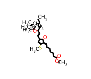 CCCCCC(C=CC1C=C(SC)C(=CCCCCCC(=O)OC)C1=O)O[Si](C)(C)C(C)(C)C